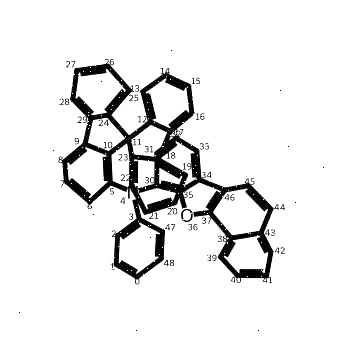 c1ccc(N(c2cccc3c2C2(c4ccccc4-c4ccccc42)c2ccccc2-3)c2cccc3c2oc2c4ccccc4ccc32)cc1